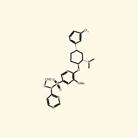 COc1cc(S(=O)(=O)N(OC=O)c2ccncn2)cnc1O[C@H]1CC[C@H](c2cccc(C(F)(F)F)c2)C[C@@H]1N(C)C